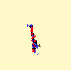 CN(Cc1ccc2c(c1)CCN(C(=O)CCC(=O)N1CCN(CCOCCC(=O)N3CCNCC3)CC1)C2)c1ncnc(N)c1C(=N)c1ccc2oc(N)nc2c1